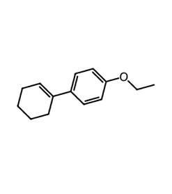 CCOc1ccc(C2=CCCCC2)cc1